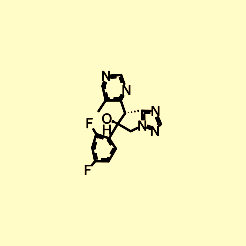 Cc1cncnc1[C@H](C)[C@](O)(Cn1cncn1)c1ccc(F)cc1F